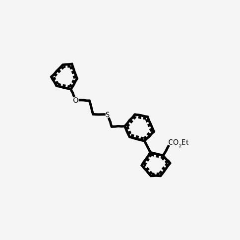 CCOC(=O)c1ccccc1-c1cccc(CSCCOc2ccccc2)c1